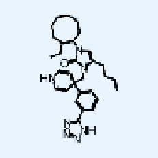 CCCCc1cn(C2CCCCCCC2CC)c(=O)n1CC1(c2cccc(-c3nnn[nH]3)c2)C=CNC=C1